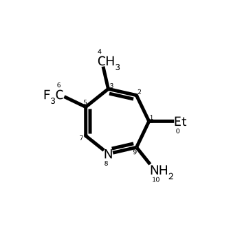 CCC1C=C(C)C(C(F)(F)F)=CN=C1N